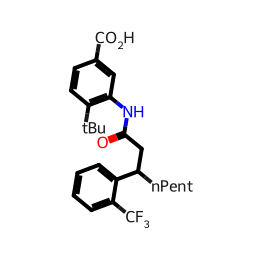 CCCCCC(CC(=O)Nc1cc(C(=O)O)ccc1C(C)(C)C)c1ccccc1C(F)(F)F